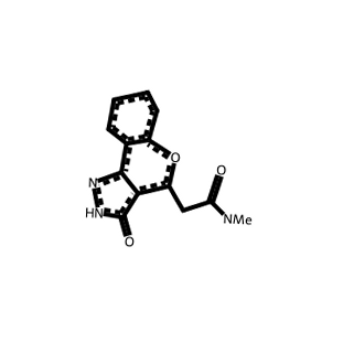 CNC(=O)Cc1oc2ccccc2c2n[nH]c(=O)c1-2